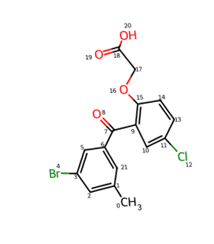 Cc1cc(Br)cc(C(=O)c2cc(Cl)ccc2OCC(=O)O)c1